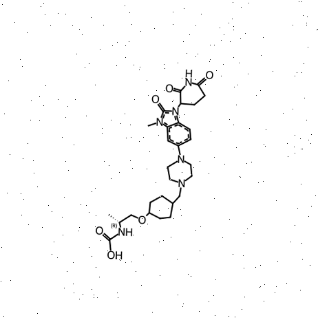 C[C@H](COC1CCC(CN2CCN(c3ccc4c(c3)n(C)c(=O)n4C3CCC(=O)NC3=O)CC2)CC1)NC(=O)O